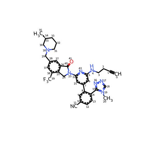 C#CCCNc1cc(-c2cc(C#N)ccc2-c2nncn2C)cc(N2Cc3c(cc(CN4CCC[C@H](C)C4)cc3C(F)(F)F)C2=O)n1